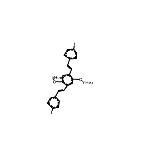 CCCCCCOc1cc(/C=C/c2ccc(I)cc2)c(OCCCCCC)cc1/C=C/c1ccc(I)cc1